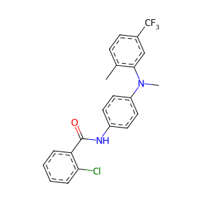 Cc1ccc(C(F)(F)F)cc1N(C)c1ccc(NC(=O)c2ccccc2Cl)cc1